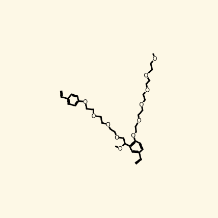 C=Cc1ccc(OCCOCCOCCOCC(OC)c2cc(C=C)ccc2OCCOCCOCCOCCOCCOC)cc1